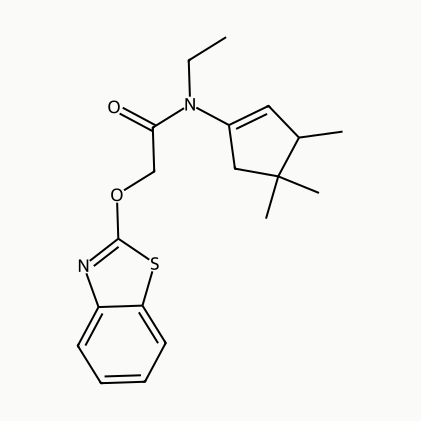 CCN(C(=O)COc1nc2ccccc2s1)C1=CC(C)C(C)(C)C1